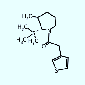 C[C@H]1CCCN(C(=O)Cc2ccsc2)[C@@H]1S(C)(C)C